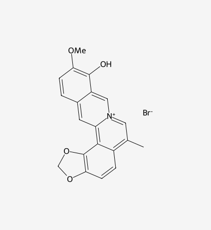 COc1ccc2cc3c4c5c(ccc4c(C)c[n+]3cc2c1O)OCO5.[Br-]